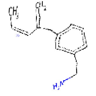 C=C(/C=C\C)c1cccc(CN)c1